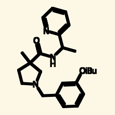 CC(C)COc1cccc(CN2CCC(C)(C(=O)NC(C)c3ccccn3)C2)c1